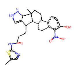 Cc1cnc(NC(=O)CCC2C3=CNNC3C3(C)CCC4c5ccc(O)c([N+](=O)[O-])c5CCC4C23)s1